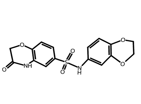 O=C1COc2ccc(S(=O)(=O)Nc3ccc4c(c3)OCCO4)cc2N1